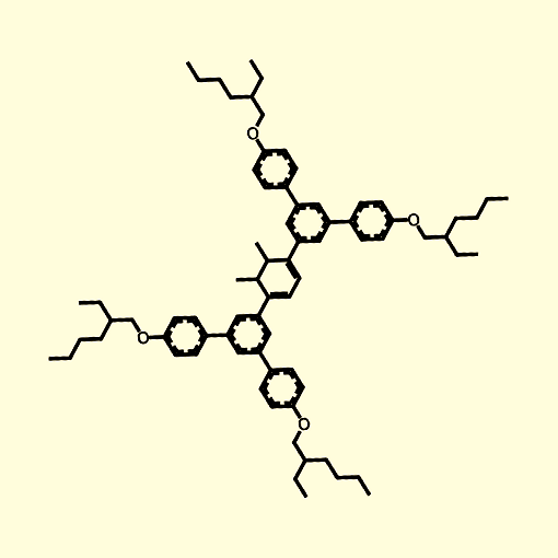 CCCCC(CC)COc1ccc(-c2cc(C3=CC=C(c4cc(-c5ccc(OCC(CC)CCCC)cc5)cc(-c5ccc(OCC(CC)CCCC)cc5)c4)C(C)C3C)cc(-c3ccc(OCC(CC)CCCC)cc3)c2)cc1